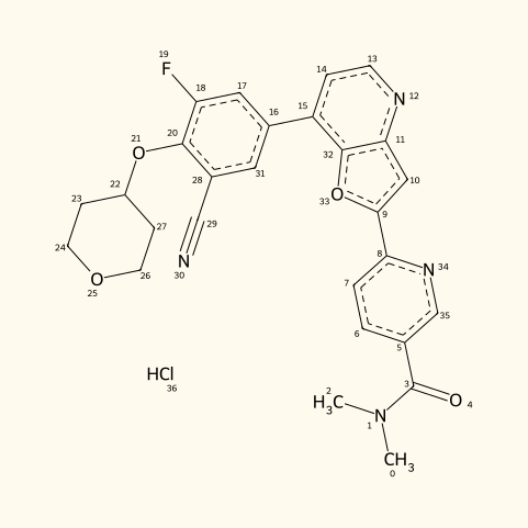 CN(C)C(=O)c1ccc(-c2cc3nccc(-c4cc(F)c(OC5CCOCC5)c(C#N)c4)c3o2)nc1.Cl